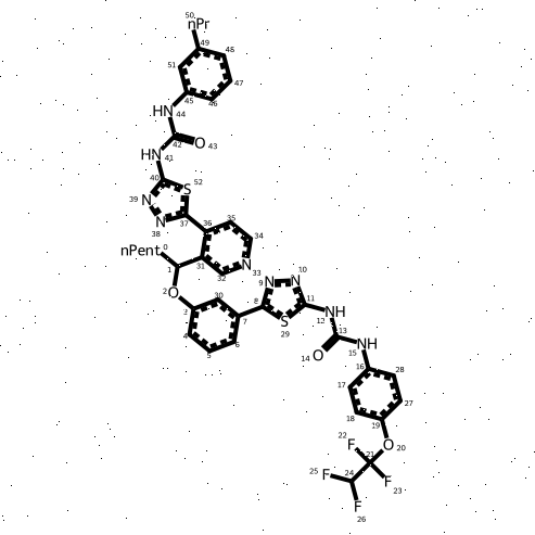 CCCCCC(Oc1cccc(-c2nnc(NC(=O)Nc3ccc(OC(F)(F)C(F)F)cc3)s2)c1)c1cnccc1-c1nnc(NC(=O)Nc2cccc(CCC)c2)s1